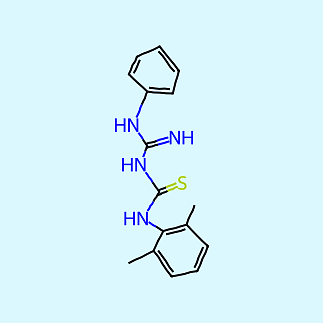 Cc1cccc(C)c1NC(=S)NC(=N)Nc1ccccc1